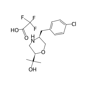 CC(C)(O)[C@H]1CN[C@@H](Cc2ccc(Cl)cc2)CO1.O=C(O)C(F)(F)F